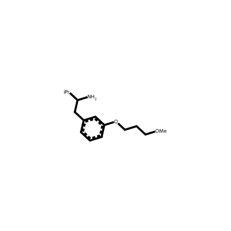 COCCCOc1[c]ccc(CC(N)C(C)C)c1